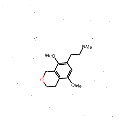 CNCCc1cc(OC)c2c(c1OC)COCC2